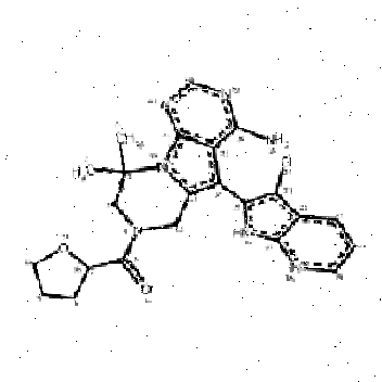 CC1(C)CN(C(=O)[C@H]2CCCO2)Cc2c(-c3[nH]c4ncccc4c3Cl)c3c(N)ncnc3n21